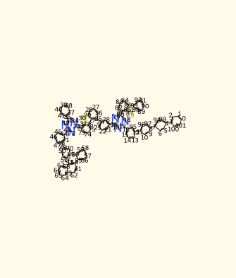 c1ccc(-c2ccc(-c3ccc(-c4cccc(-c5nc(-c6cccc(-c7cccc8sc9c(-c%10nc(-c%11ccccc%11)nc(-c%11cccc(-c%12ccc(-c%13c(-c%14ccccc%14)ccc%14ccccc%13%14)cc%12)c%11)n%10)cccc9c78)c6)nc(-c6cccc7c6sc6ccccc67)n5)c4)cc3)cc2)cc1